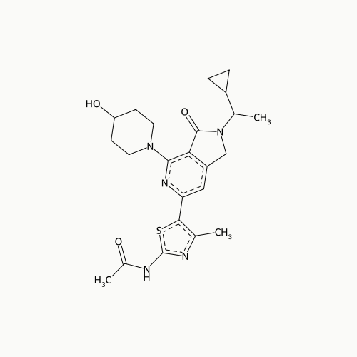 CC(=O)Nc1nc(C)c(-c2cc3c(c(N4CCC(O)CC4)n2)C(=O)N(C(C)C2CC2)C3)s1